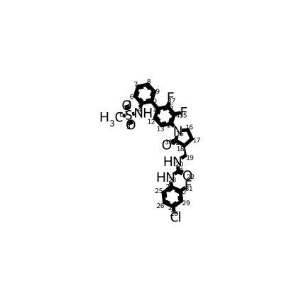 CS(=O)(=O)Nc1ccccc1-c1ccc(N2CC[C@@H](CNC(=O)Nc3ccc(Cl)cc3F)C2=O)c(F)c1F